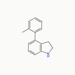 Cc1ccccc1-c1cccc2c1CCN2